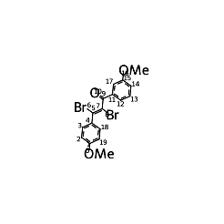 COc1ccc(C(Br)=C(Br)C(=O)c2cccc(OC)c2)cc1